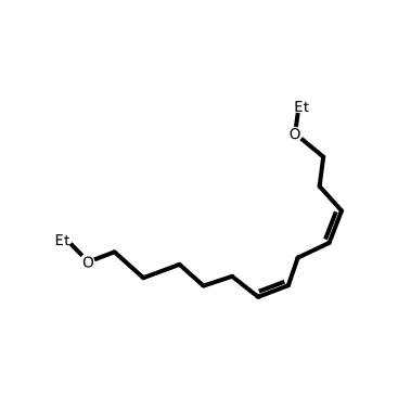 CCOCC/C=C\C/C=C\CCCCCOCC